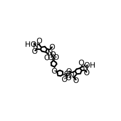 O=c1c2cc3c(=O)n(OS(=O)(=O)c4ccc(Oc5ccc(S(=O)(=O)On6c(=O)c7cc8c(=O)n(O)c(=O)c8cc7c6=O)cc5)cc4)c(=O)c3cc2c(=O)n1O